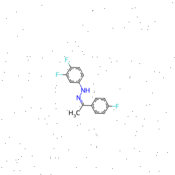 CC(=NNc1ccc(F)c(F)c1)c1ccc(F)cc1